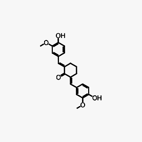 COc1cc(C=C2CCCC(=Cc3ccc(O)c(OC)c3)C2=O)ccc1O